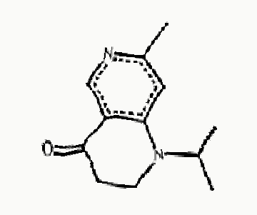 Cc1cc2c(cn1)C(=O)CCN2C(C)C